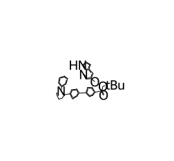 CC(C)(C)OC(=O)c1ccc(-c2ccc(C3CCCN3c3ccccc3)cc2)cc1Oc1cnc2[nH]ccc2c1